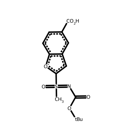 CC(C)(C)OC(=O)N=S(C)(=O)c1cc2cc(C(=O)O)ccc2o1